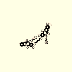 COc1cc2c(cc1OCCCCCOc1cc3c(cc1OC)C(=O)N1Cc4cc(N)ccc4C[C@H]1C(=O)N3COCC[Si](C)(C)C)N(COCC[Si](C)(C)C)C(=O)[C@@H]1Cc3ccccc3CN1C2=O